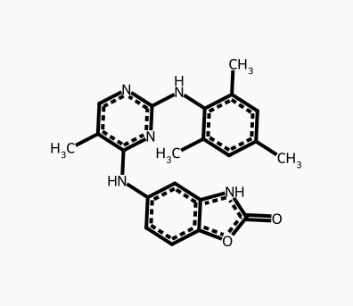 Cc1cc(C)c(Nc2ncc(C)c(Nc3ccc4oc(=O)[nH]c4c3)n2)c(C)c1